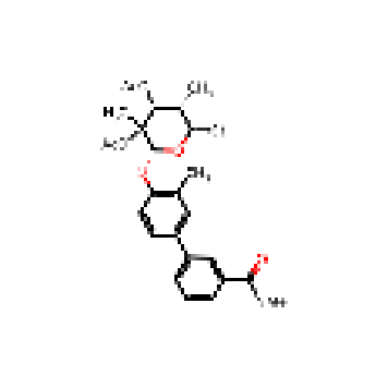 CC[C@H]1O[C@H](Oc2ccc(-c3cccc(C(=O)NC)c3)cc2C)[C@@](C)(OC(C)=O)[C@@H](OC(C)=O)[C@@H]1C